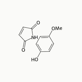 COc1ccc(O)cc1.O=C1C=CC(=O)N1